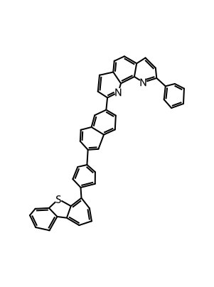 c1ccc(-c2ccc3ccc4ccc(-c5ccc6cc(-c7ccc(-c8cccc9c8sc8ccccc89)cc7)ccc6c5)nc4c3n2)cc1